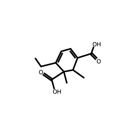 CCC1=CC=C(C(=O)O)C(C)C1(C)C(=O)O